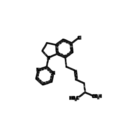 O=C(O)C(CC=CCc1cc(Cl)cc2c1N(c1ncccn1)CC2)C(=O)O